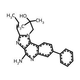 CCCc1nc2c(N)nc3cc(-c4ccccc4)ccc3c2n1CC(C)(C)O